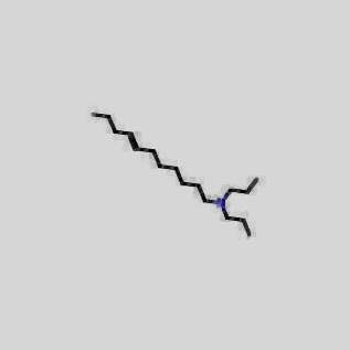 CCCC=CCCCCCCN(CCC)CCC